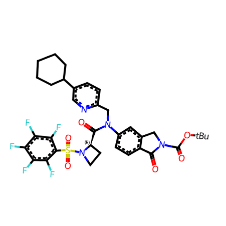 CC(C)(C)OC(=O)N1Cc2cc(N(Cc3ccc(C4CCCCC4)cn3)C(=O)[C@H]3CCN3S(=O)(=O)c3c(F)c(F)c(F)c(F)c3F)ccc2C1=O